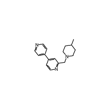 CC1CCN(Cc2cc(-c3ccncc3)ccn2)CC1